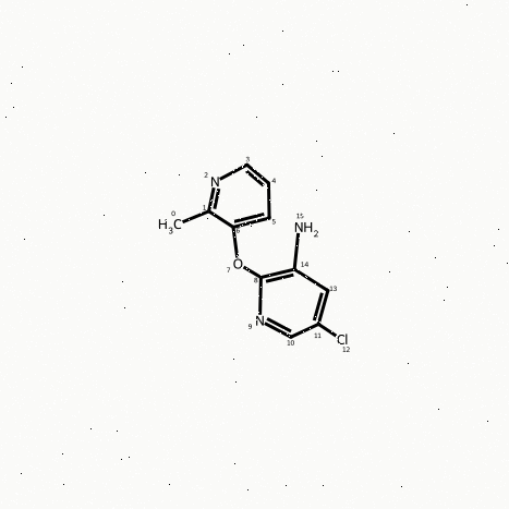 Cc1ncccc1Oc1ncc(Cl)cc1N